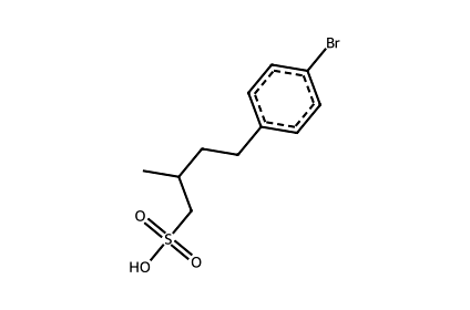 CC(CCc1ccc(Br)cc1)CS(=O)(=O)O